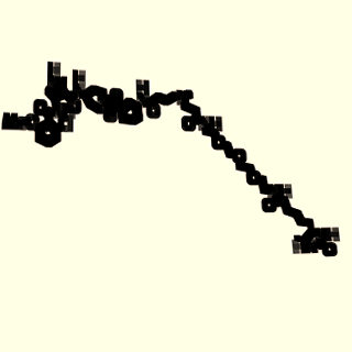 COc1cccc(Cl)c1C(=O)Nc1c[nH]nc1C(=O)NC1CCN(S(=O)(=O)c2cccc(NC(=O)/C=C/CN(C)CCC(=O)NCCOCCOCCOCCNC(=O)CCCCC[C@H]3NC(=O)N[C@H]3C)c2)CC1